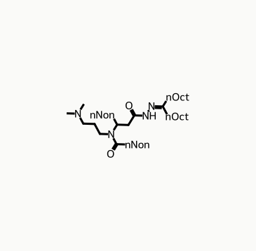 CCCCCCCCCC(=O)N(CCCN(C)C)C(CCCCCCCCC)CC(=O)NN=C(CCCCCCCC)CCCCCCCC